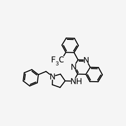 FC(F)(F)c1ccccc1-c1nc(NC2CCN(Cc3ccccc3)C2)c2ccccc2n1